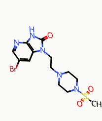 CS(=O)(=O)N1CCN(CCn2c(=O)[nH]c3ncc(Br)cc32)CC1